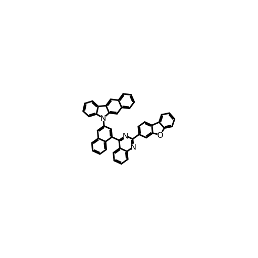 c1ccc2cc3c(cc2c1)c1ccccc1n3-c1cc(-c2nc(-c3ccc4c(c3)oc3ccccc34)nc3ccccc23)c2ccccc2c1